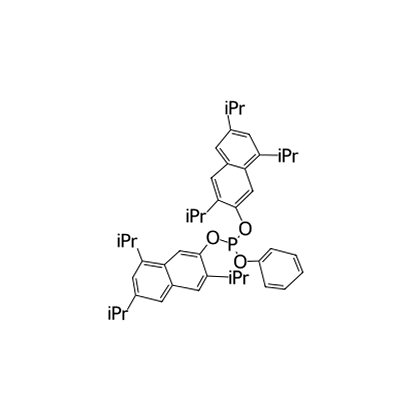 CC(C)c1cc(C(C)C)c2cc(OP(Oc3ccccc3)Oc3cc4c(C(C)C)cc(C(C)C)cc4cc3C(C)C)c(C(C)C)cc2c1